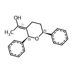 C/C(O)=C1/CC[C@@H](c2ccccc2)O[C@H]1c1ccccc1